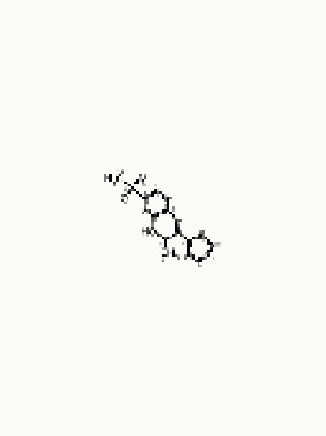 CC(O)C(=Cc1ccc(S(C)(=O)=O)cc1)c1ccccc1